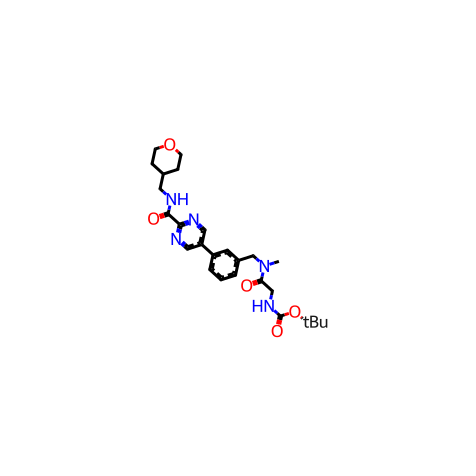 CN(Cc1cccc(-c2cnc(C(=O)NCC3CCOCC3)nc2)c1)C(=O)CNC(=O)OC(C)(C)C